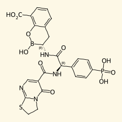 O=C(O)c1cccc2c1OB(O)[C@@H](NC(=O)[C@H](NC(=O)c1cnc3n(c1=O)CCS3)c1ccc(P(=O)(O)O)cc1)C2